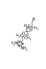 CC(C)(CCC#N)C1OCC2(CO1)COC(C(C)(C)CCc1nc(N)nc(N)n1)OC2